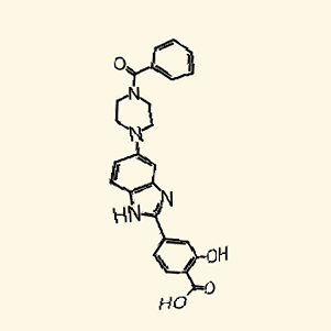 O=C(O)c1ccc(-c2nc3cc(N4CCN(C(=O)c5ccccc5)CC4)ccc3[nH]2)cc1O